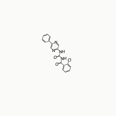 O=C(NC(=O)c1ccccc1Cl)Nc1cnc(-c2ccccc2)cn1